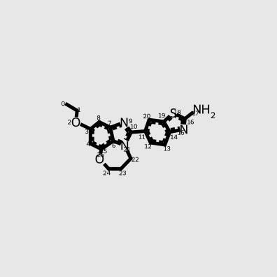 CCOc1cc2c3c(c1)nc(-c1ccc4nc(N)sc4c1)n3CCCO2